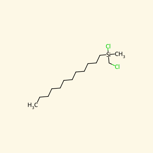 CCCCCCCCCCCC[Si](C)(Cl)CCl